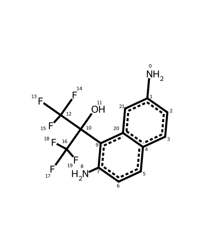 Nc1ccc2ccc(N)c(C(O)(C(F)(F)F)C(F)(F)F)c2c1